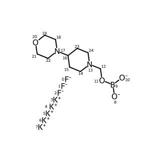 [F-].[F-].[F-].[K+].[K+].[K+].[K+].[K+].[O-]B([O-])OCN1CCC(N2CCOCC2)CC1